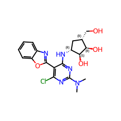 CN(C)c1nc(Cl)c(-c2nc3ccccc3o2)c(N[C@@H]2C[C@H](CO)[C@@H](O)[C@H]2O)n1